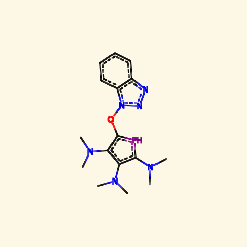 CN(C)c1[pH]c(On2nnc3ccccc32)c(N(C)C)c1N(C)C